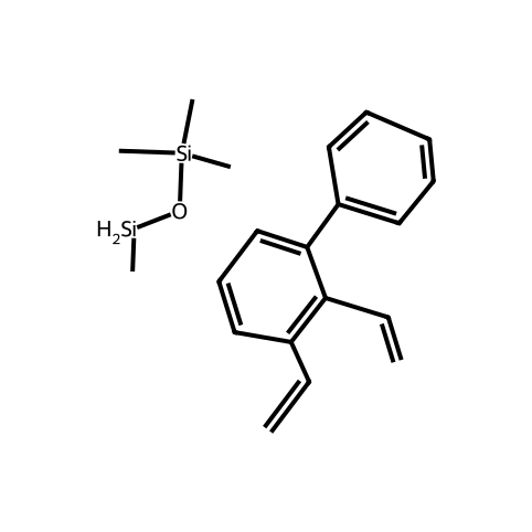 C=Cc1cccc(-c2ccccc2)c1C=C.C[SiH2]O[Si](C)(C)C